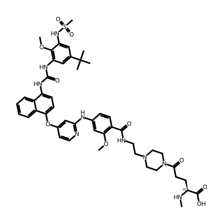 CN[C@@H](CCC(=O)N1CCN(CCNC(=O)c2ccc(Nc3cc(Oc4ccc(NC(=O)Nc5cc(C(C)(C)C)cc(NS(C)(=O)=O)c5OC)c5ccccc45)ccn3)cc2OC)CC1)C(=O)O